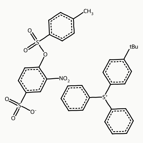 CC(C)(C)c1ccc([S+](c2ccccc2)c2ccccc2)cc1.Cc1ccc(S(=O)(=O)Oc2ccc(S(=O)(=O)[O-])cc2[N+](=O)[O-])cc1